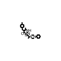 Cc1ccc(Cc2c(C)[nH]c3nc(C(C)N4CCN(c5ccccc5)CC4)nn3c2=O)cc1